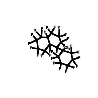 FC(F)(F)C1(C2(F)C(F)(F)C(F)(F)C(F)(F)C3(F)C(F)(F)C(F)(F)C(F)(F)C(F)(F)C32F)C(F)(F)C(F)(F)C(F)(F)C(F)(F)C1(F)F